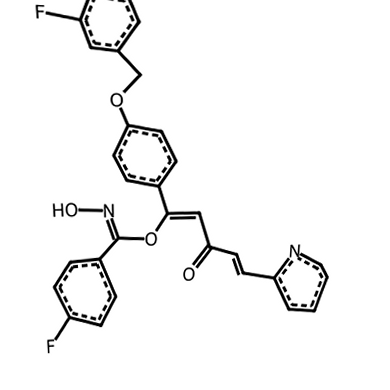 O=C(C=Cc1ccccn1)C=C(OC(=NO)c1ccc(F)cc1)c1ccc(OCc2cccc(F)c2)cc1